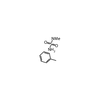 CNS(N)(=O)=O.Cc1ccccc1